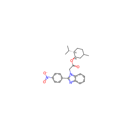 CC1CC[C@@H](C(C)C)[C@H](OC(=O)Cn2c(-c3ccc([N+](=O)[O-])cc3)nc3ccccc32)C1